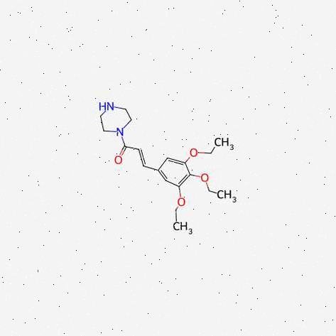 CCOc1cc(C=CC(=O)N2CCNCC2)cc(OCC)c1OCC